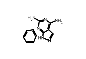 Nc1nc(N)c2cn[nH]c2n1.c1ccccc1